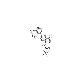 CC(C)(C)OC(=O)Nc1ccc(O)c2nc(-c3ccnc(N)c3N)ccc12